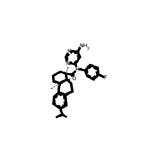 CC(C)c1ccc2c(c1)CC[C@H]1[C@](C)(C(=O)N(c3ccc(F)cc3)c3cc(N)ncn3)CCC[C@]21C